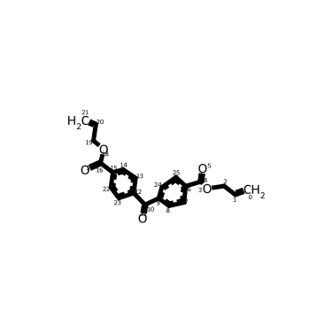 C=CCOC(=O)c1ccc(C(=O)c2ccc(C(=O)OCC=C)cc2)cc1